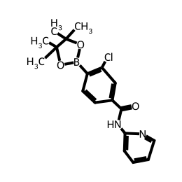 CC1(C)OB(c2ccc(C(=O)Nc3ccccn3)cc2Cl)OC1(C)C